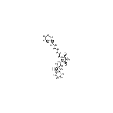 CN1C(=O)C(CCCCCCCOC2CCCCO2)N(CCC(C)(O)CC2CCCCC2)C1=S